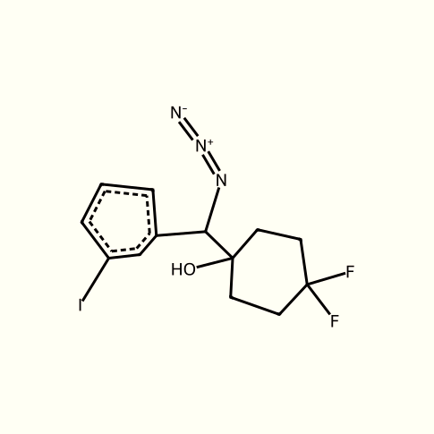 [N-]=[N+]=NC(c1cccc(I)c1)C1(O)CCC(F)(F)CC1